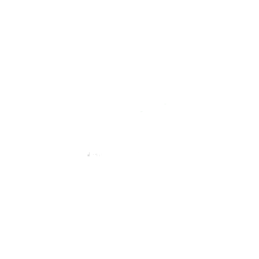 CCCCCC1CCC(c2cccc(F)c2F)OC1